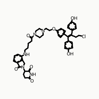 O=C1CCC(N2Cc3c(NCCCCC(=O)N4CCN(CCOc5ccc(C(=C(CCCl)c6ccc(O)cc6)c6ccc(O)cc6)cc5)CC4)cccc3C2=O)C(=O)N1